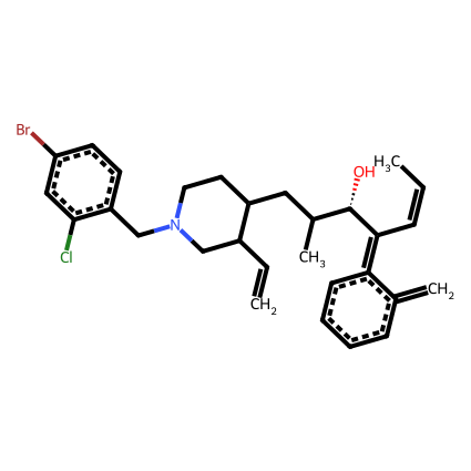 C=CC1CN(Cc2ccc(Br)cc2Cl)CCC1CC(C)[C@H](O)C(/C=C\C)=c1\ccccc1=C